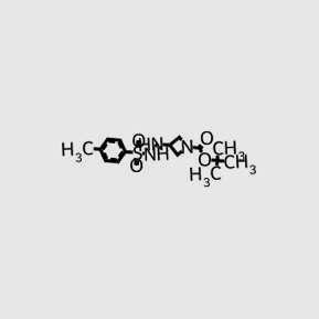 Cc1ccc(S(=O)(=O)NNC2CN(C(=O)OC(C)(C)C)C2)cc1